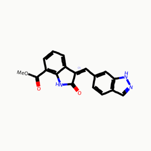 COC(=O)c1cccc2c1NC(=O)/C2=C\c1ccc2cn[nH]c2c1